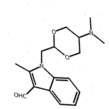 Cc1c(C=O)c2ccccc2n1CC1OCC(N(C)C)CO1